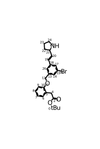 CC(C)(C)OC(=O)Cc1ccccc1OCc1cc(Br)cc(C=CC2CCCN2)c1